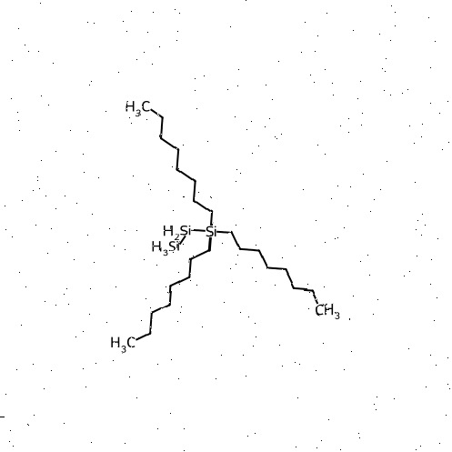 CCCCCCCC[Si](CCCCCCCC)(CCCCCCCC)[SiH2][SiH3]